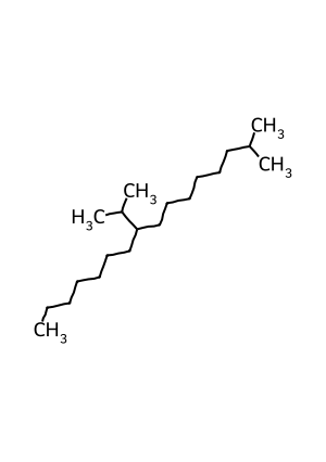 CCCCCCCC(CCCCCCC(C)C)C(C)C